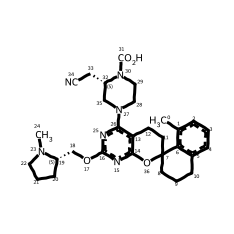 Cc1cccc2c1C1(CCC2)CCc2c(nc(OC[C@@H]3CCCN3C)nc2N2CCN(C(=O)O)[C@@H](CC#N)C2)O1